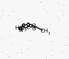 CCCCCCC(=O)OC1CCC2(C)C(=CCC3C2CCC2(C)C(c4cccnc4)=CCC32)C1